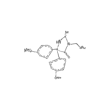 COc1ccc(C2(c3ccc(OC)cc3)NC(=N)N(CC(C)(C)C)C2=O)cc1